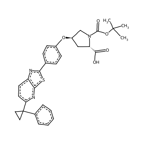 CC(C)(C)OC(=O)N1C[C@H](Oc2ccc(-c3nc4ccc(C5(c6ccccc6)CC5)nc4s3)cc2)C[C@H]1C(=O)O